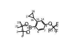 CC1(C)OB(c2ccc(OC(F)(F)F)cc2C2CC2)OC1(C)C